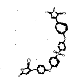 O=C1C=C(c2ccc(Oc3ccc(S(=O)(=O)c4ccc(Oc5ccc(C6=CC(=O)NC6=O)cc5)cc4)cc3)cc2)C(=O)N1